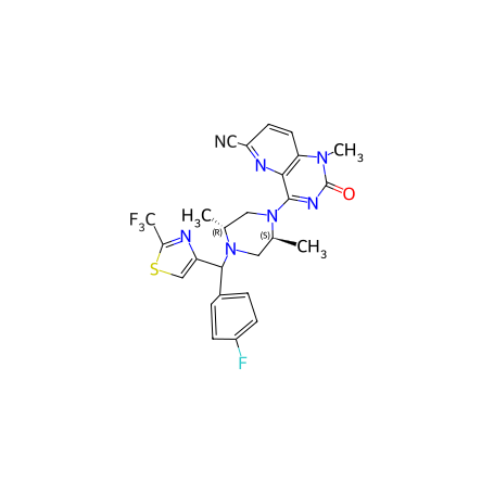 C[C@@H]1CN(c2nc(=O)n(C)c3ccc(C#N)nc23)[C@@H](C)CN1C(c1ccc(F)cc1)c1csc(C(F)(F)F)n1